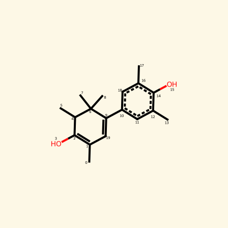 CC1=C(O)C(C)C(C)(C)C(c2cc(C)c(O)c(C)c2)=C1